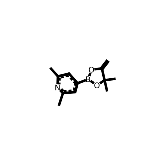 C=C1OB(c2cc(C)nc(C)c2)OC1(C)C